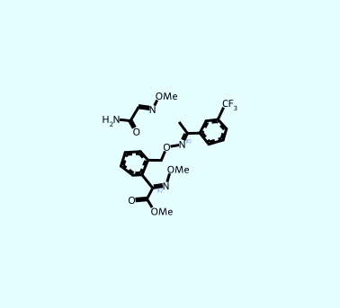 CO/N=C(/C(=O)OC)c1ccccc1CO/N=C(\C)c1cccc(C(F)(F)F)c1.CON=CC(N)=O